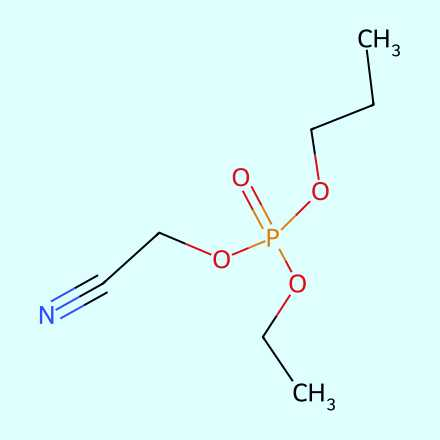 CCCOP(=O)(OCC)OCC#N